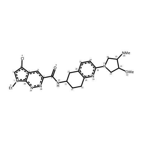 CCn1cc(Cl)c2cc(C(=O)NC3CCc4nc(N5CC(NC)C(OC)C5)ccc4C3)nnc21